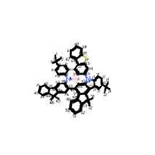 CC(C)(C)c1ccc(N2B3c4cc5c(cc4-n4c6ccc(C(C)(C)C)cc6c6c7c(c(c3c64)-c3cc4c(cc32)-c2ccccc2C4(C)C)-c2ccccc2C7(C)C)sc2ccccc25)cc1